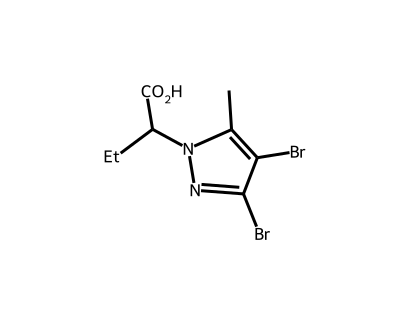 CCC(C(=O)O)n1nc(Br)c(Br)c1C